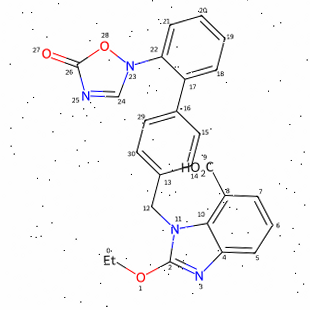 CCOc1nc2cccc(C(=O)O)c2n1Cc1ccc(-c2ccccc2-n2cnc(=O)o2)cc1